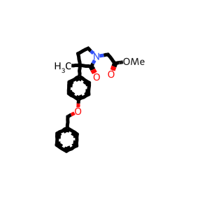 COC(=O)CN1CCC(C)(c2ccc(OCc3ccccc3)cc2)C1=O